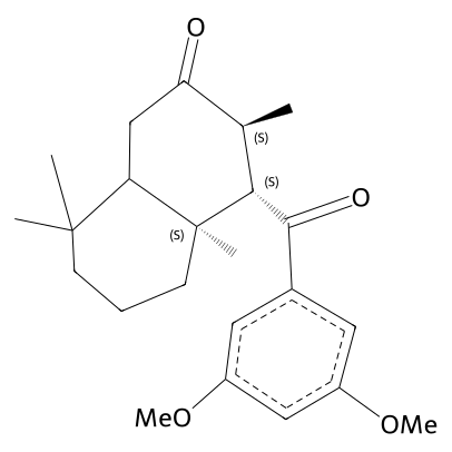 COc1cc(OC)cc(C(=O)[C@H]2[C@H](C)C(=O)CC3C(C)(C)CCC[C@@]32C)c1